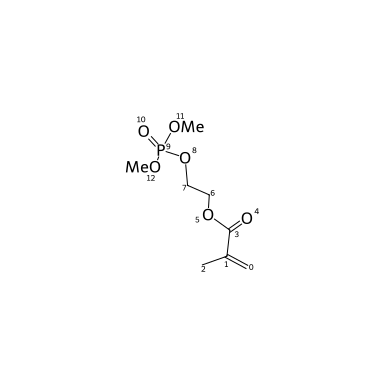 C=C(C)C(=O)OCCOP(=O)(OC)OC